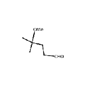 COC(C)(C)CCC=O